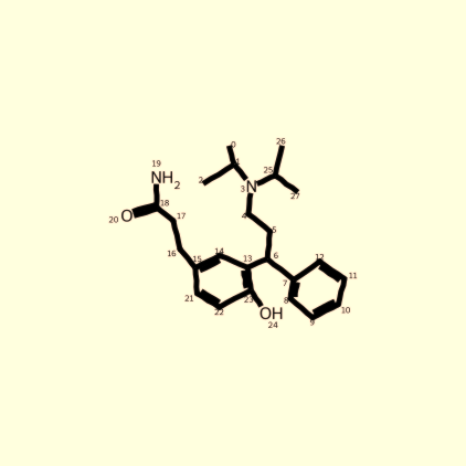 CC(C)N(CCC(c1ccccc1)c1cc(CCC(N)=O)ccc1O)C(C)C